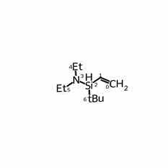 C=C[SiH](N(CC)CC)C(C)(C)C